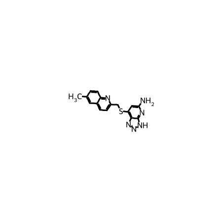 Cc1ccc2nc(CSc3cc(N)nc4[nH]nnc34)ccc2c1